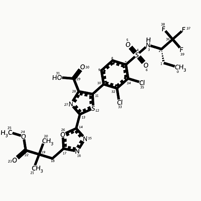 CC[C@H](NS(=O)(=O)c1ccc(-c2sc(-c3nnc(CC(C)(C)C(=O)OC)o3)nc2C(=O)O)c(Cl)c1Cl)C(F)(F)F